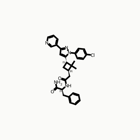 CC1(C)[C@@H](CC(=O)N[C@@H](Cc2ccccc2)C(N)=O)C[C@@H]1c1cc(-c2cccnc2)nn1-c1ccc(Cl)cc1